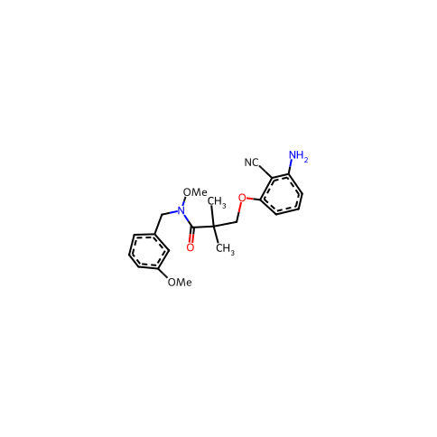 COc1cccc(CN(OC)C(=O)C(C)(C)COc2cccc(N)c2C#N)c1